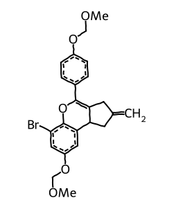 C=C1CC2=C(c3ccc(OCOC)cc3)Oc3c(Br)cc(OCOC)cc3C2C1